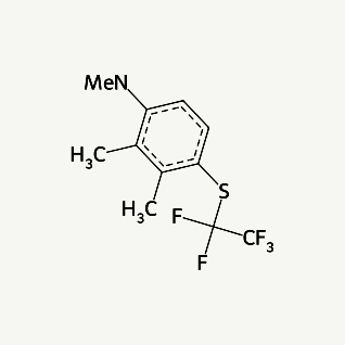 CNc1ccc(SC(F)(F)C(F)(F)F)c(C)c1C